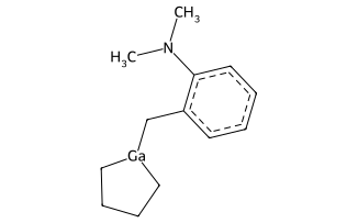 CN(C)c1ccccc1[CH2][Ga]1[CH2]CC[CH2]1